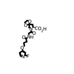 O=C(CCCOc1ccnc(F)c1)NCC(=O)N1CC2(C[C@H]1C(=O)O)OCCO2